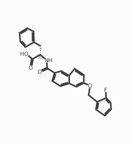 O=C(N[C@@H](Cc1ccccc1)C(=O)O)c1ccc2cc(OCc3ccccc3F)ccc2c1